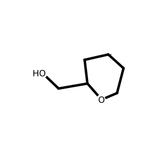 OCC1C[CH]CCO1